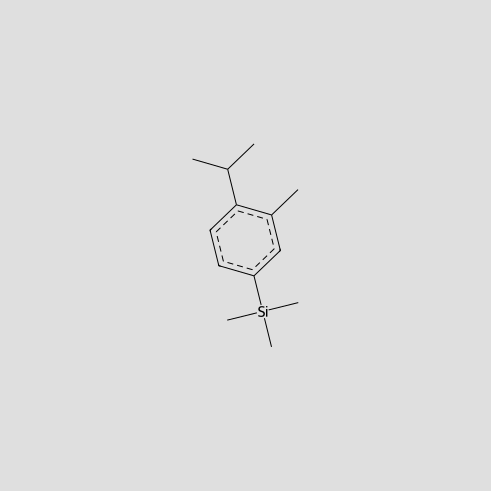 Cc1cc([Si](C)(C)C)ccc1C(C)C